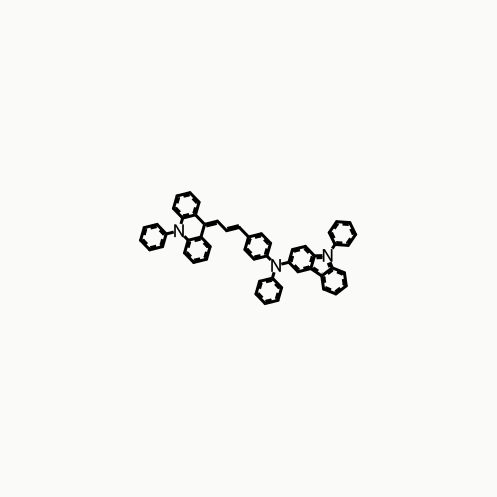 C(/C=C/c1ccc(N(c2ccccc2)c2ccc3c(c2)c2ccccc2n3-c2ccccc2)cc1)=C1c2ccccc2N(c2ccccc2)c2ccccc21